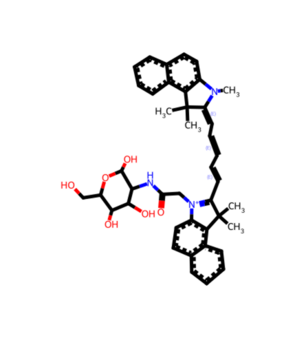 CN1/C(=C/C=C/C=C/C2=[N+](CC(=O)NC3C(O)OC(CO)C(O)C3O)c3ccc4ccccc4c3C2(C)C)C(C)(C)c2c1ccc1ccccc21